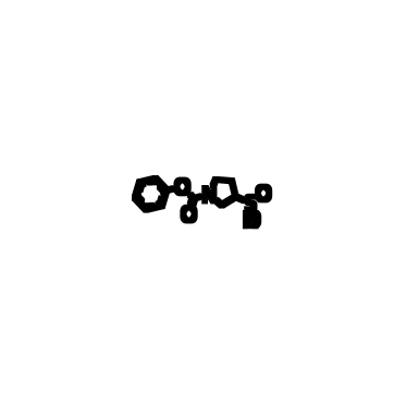 O=C(Oc1ccccc1)N1CCC([SH](=O)=O)C1